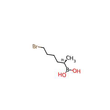 C[C@H](CCCCBr)B(O)O